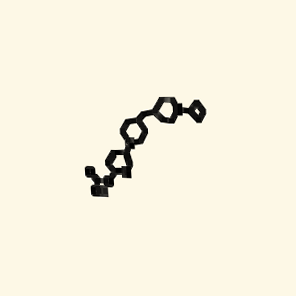 O=C(O)Oc1ccc(N2CCC(CC3CCN(C4CCC4)CC3)CC2)cn1